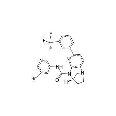 O=C(Nc1cncc(Br)c1)N1c2nc(-c3cccc(C(F)(F)F)c3)ccc2N2CC[C@H]1C2